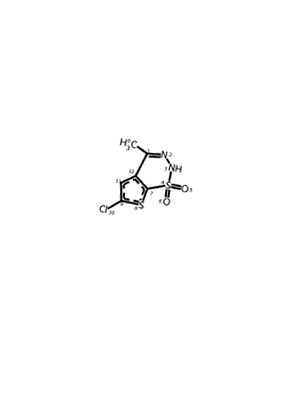 CC1=NNS(=O)(=O)c2sc(Cl)cc21